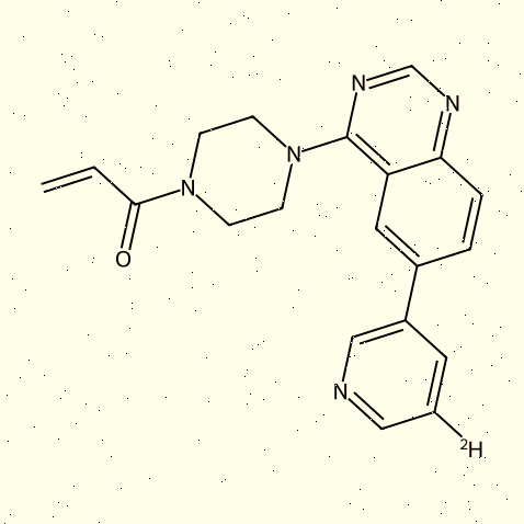 [2H]c1cncc(-c2ccc3ncnc(N4CCN(C(=O)C=C)CC4)c3c2)c1